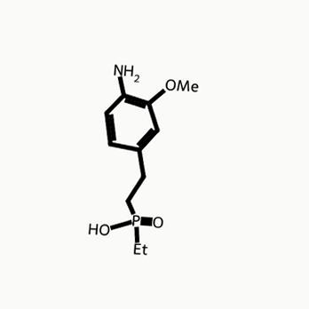 CCP(=O)(O)CCc1ccc(N)c(OC)c1